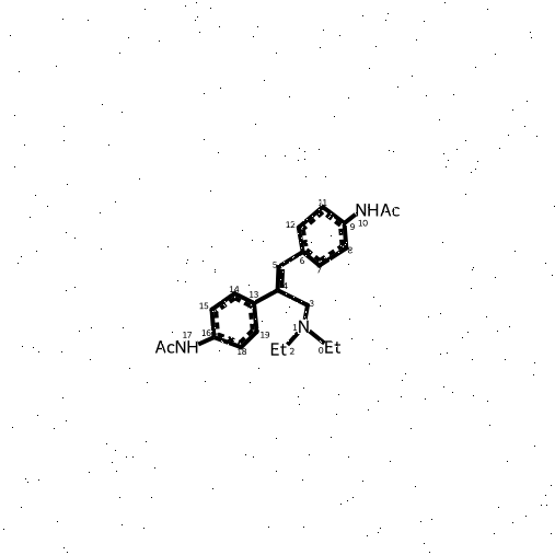 CCN(CC)C/C(=C\c1ccc(NC(C)=O)cc1)c1ccc(NC(C)=O)cc1